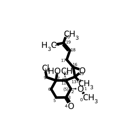 CO[C@@H]1C(=O)CCC(O)(CCl)[C@@]1(C)C1(C)OC1CC=C(C)C